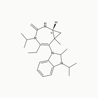 C=C1N[C@@H]2CC2(C)C(N2c3ccccc3N(C(C)C)C2C)=C(CC)N1C(C)C